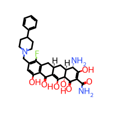 NC(=O)C1=C(O)[C@@H](N)[C@@H]2C[C@@H]3Cc4c(F)c(CN5CCC(c6ccccc6)CC5)cc(O)c4C(=O)C3=C(O)[C@]2(O)C1=O